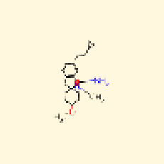 COC1CCC2(CC1)Cc1ccc(CCC3CC3)cc1C21N=C(N)N(C)O1